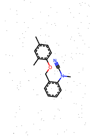 Cc1ccc(OCc2ccccc2N(C)C#N)c(C)c1